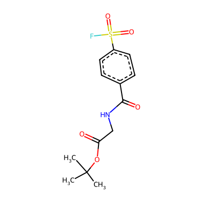 CC(C)(C)OC(=O)CNC(=O)c1ccc(S(=O)(=O)F)cc1